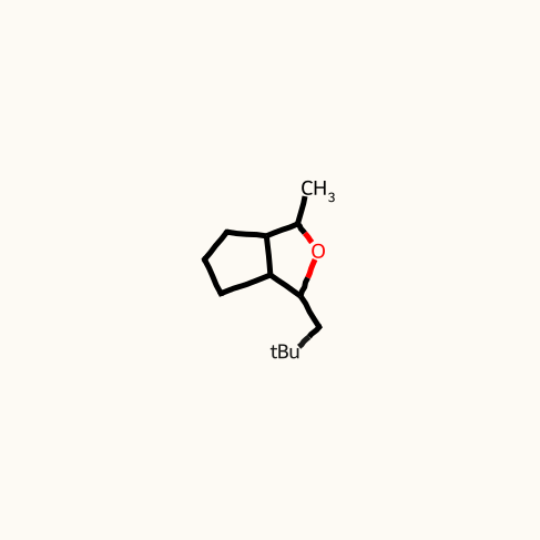 CC1OC(CC(C)(C)C)C2CCCC12